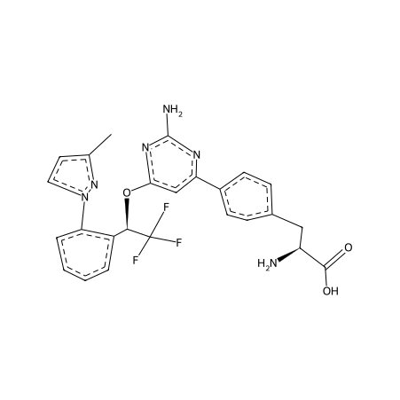 Cc1ccn(-c2ccccc2[C@@H](Oc2cc(-c3ccc(C[C@H](N)C(=O)O)cc3)nc(N)n2)C(F)(F)F)n1